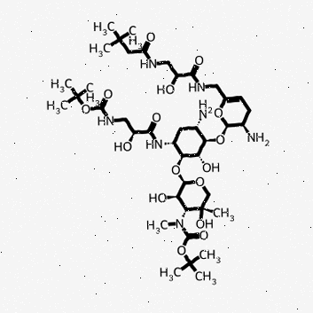 CN(C(=O)OC(C)(C)C)[C@@H]1[C@@H](O)[C@@H](O[C@@H]2[C@@H](O)[C@H](O[C@H]3OC(CNC(=O)C(O)CNC(=O)CC(C)(C)C)=CC[C@H]3N)[C@@H](N)C[C@H]2NC(=O)[C@@H](O)CNC(=O)OC(C)(C)C)OC[C@]1(C)O